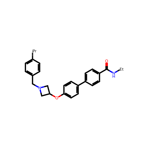 CCNC(=O)c1ccc(-c2ccc(OC3CN(Cc4ccc(C(C)C)cc4)C3)cc2)cc1